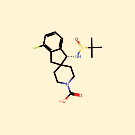 CC(C)(C)[S+]([O-])N[C@H]1c2cccc(F)c2CC12CCN(C(=O)O)CC2